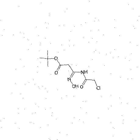 CC(C)(C)OC(=O)CC(=NO)NC(=O)CCl